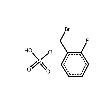 Fc1ccccc1CBr.O=S(=O)(O)Cl